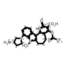 Cn1c2c(c3cccc(N4CC[C@H](N)C4)c31)-c1[nH]c(=O)c(C(=O)O)c(OC(=O)C(F)(F)F)c1CCC2